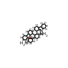 Nc1ccc(-c2ccc(N)c(-c3cccc4c3[nH]c3ccccc34)c2-c2cccc3c2[nH]c2ccccc23)cc1